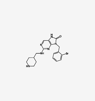 O=c1[nH]c2cnc(NCC3CCNCC3)nc2n1Cc1ccccc1Br